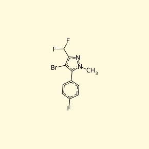 Cn1nc(C(F)F)c(Br)c1-c1ccc(F)cc1